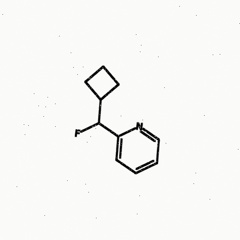 FC(c1ccccn1)C1CCC1